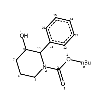 CCCCOC(=O)N1CCCC(O)C1c1ccccc1